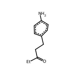 CCC(=O)CCc1ccc(N)cc1